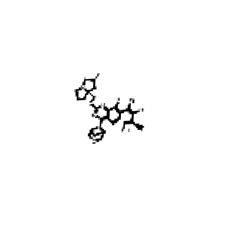 C#CC(CO)/C(CC)=C(/CC)c1ccc2c(N3C4COCC3C4)nc(OC[C@@]34CCCN3C[C@H](F)C4)nc2c1F